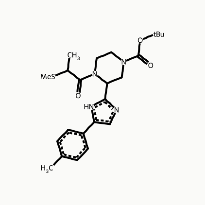 CSC(C)C(=O)N1CCN(C(=O)OC(C)(C)C)CC1c1ncc(-c2ccc(C)cc2)[nH]1